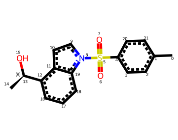 Cc1ccc(S(=O)(=O)n2ccc3c([C@@H](C)O)cccc32)cc1